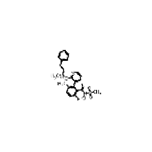 Cc1ccc(F)c(C(=O)N(Cl)S(C)(=O)=O)c1-c1cccnc1O[C@@H](C)CCc1ccccc1